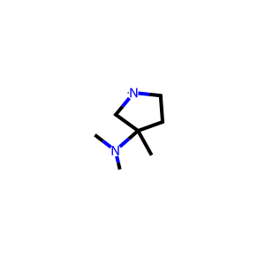 CN(C)C1(C)CC[N]C1